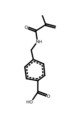 C=C(C)C(=O)NCc1ccc(C(=O)O)cc1